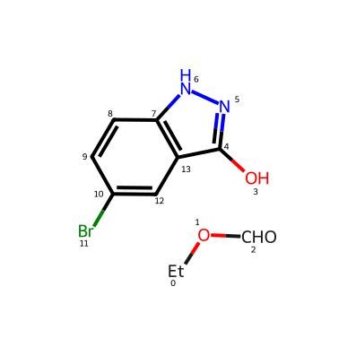 CCOC=O.Oc1n[nH]c2ccc(Br)cc12